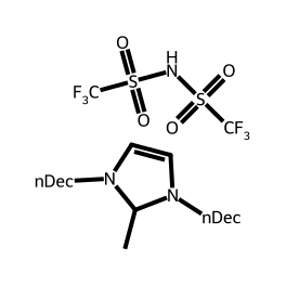 CCCCCCCCCCN1C=CN(CCCCCCCCCC)C1C.O=S(=O)(NS(=O)(=O)C(F)(F)F)C(F)(F)F